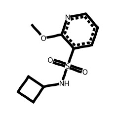 COc1ncccc1S(=O)(=O)NC1CCC1